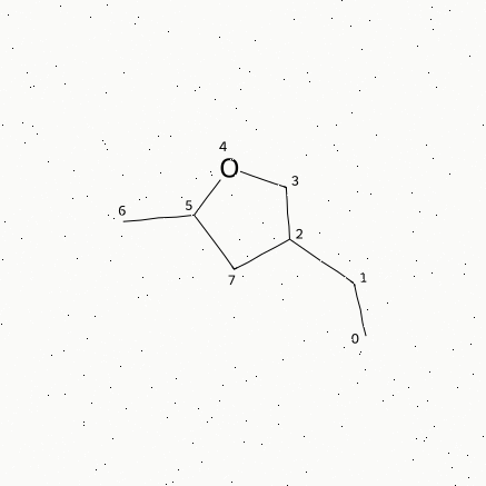 CCC1COC(C)C1